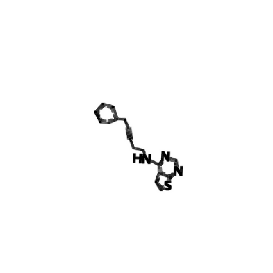 C(#CCc1ccccc1)CCNc1ncnc2sccc12